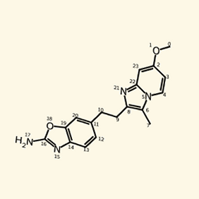 COc1ccn2c(C)c(CCc3ccc4nc(N)oc4c3)nc2c1